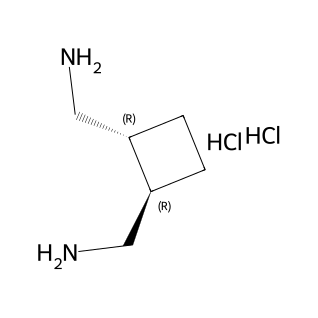 Cl.Cl.NC[C@@H]1CC[C@H]1CN